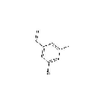 C=Cc1cc(C)cc(CC)c1